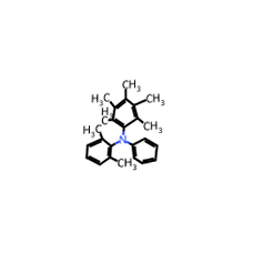 Cc1cccc(C)c1N(c1ccccc1)c1c(C)c(C)c(C)c(C)c1C